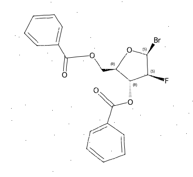 O=C(OC[C@H]1O[C@@H](Br)[C@@H](F)[C@@H]1OC(=O)c1ccccc1)c1ccccc1